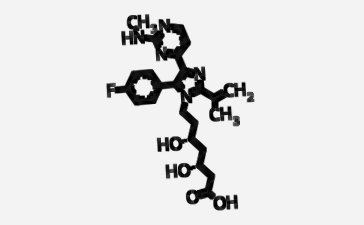 C=C(C)c1nc(-c2ccnc(NC)n2)c(-c2ccc(F)cc2)n1CC[C@@H](O)C[C@@H](O)CC(=O)O